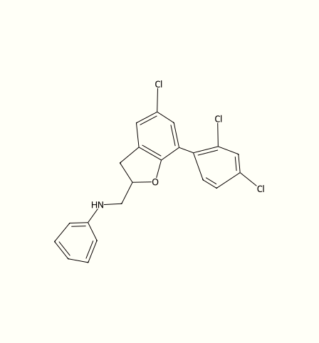 Clc1ccc(-c2cc(Cl)cc3c2OC(CNc2ccccc2)C3)c(Cl)c1